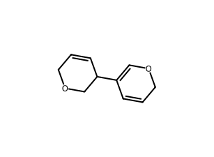 C1=CC(C2C=CCOC2)=COC1